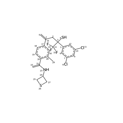 C=C(CC(S)(c1cc(Cl)cc(Cl)c1)C(F)(F)F)c1ccc(C(=C)NC2CSC2)c(C)c1